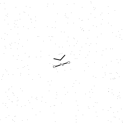 CCC.[Cl][Pd][Cl]